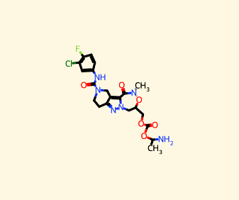 CC(N)OC(=O)OCC1Cn2nc3c(c2C(=O)N(C)O1)CN(C(=O)Nc1ccc(F)c(Cl)c1)CC3